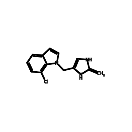 C=C1NC=C(Cn2ccc3cccc(Cl)c32)N1